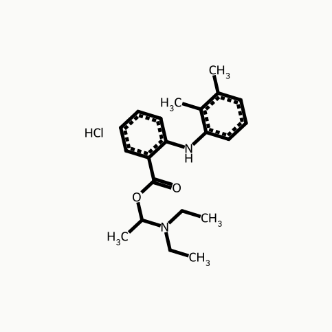 CCN(CC)C(C)OC(=O)c1ccccc1Nc1cccc(C)c1C.Cl